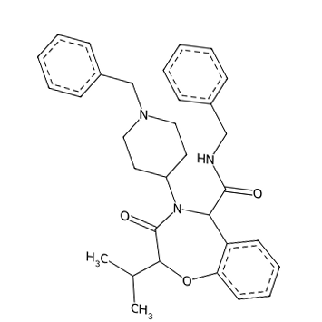 CC(C)C1Oc2ccccc2C(C(=O)NCc2ccccc2)N(C2CCN(Cc3ccccc3)CC2)C1=O